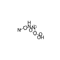 N#Cc1ccc(NC(=O)N2CCCC2c2cccc(C(=O)O)c2)cc1